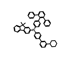 CC1(C)c2ccccc2-c2ccc(N(c3ccc(-c4cccc(C5CCCCC5)c4)cc3)c3ccc(-c4c(-c5ccccc5)cccc4-c4ccccc4)cc3)cc21